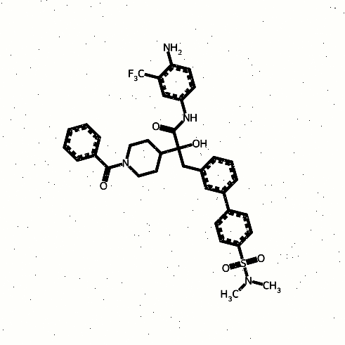 CN(C)S(=O)(=O)c1ccc(-c2cccc(CC(O)(C(=O)Nc3ccc(N)c(C(F)(F)F)c3)C3CCN(C(=O)c4ccccc4)CC3)c2)cc1